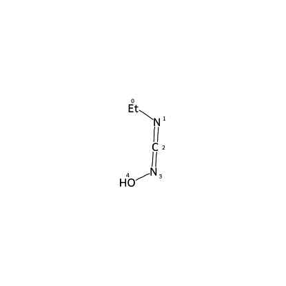 CCN=C=NO